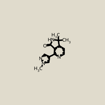 Cn1cc(-c2nccc3c2C(=O)NC3(C)C)cn1